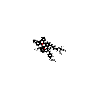 COc1ccc(CN(Cc2ccc(OC)cc2)S(=O)(=O)c2c(S(=O)(=O)C3CN(C(=O)OC(C)(C)C)C3)ccc(-c3cccn4ccnc34)c2-c2nnnn2Cc2ccc(OC)cc2)cc1